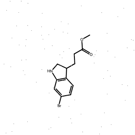 COC(=O)CCC1CNc2cc(Br)ccc21